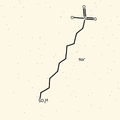 O=S(=O)([O-])CCCCCCCCCCS(=O)(=O)O.[Na+]